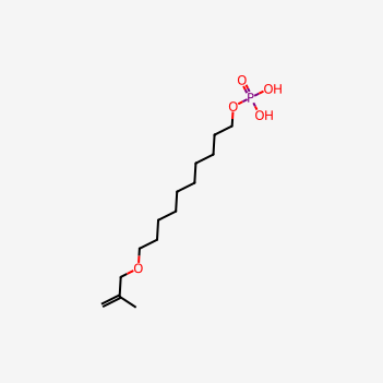 C=C(C)COCCCCCCCCCCOP(=O)(O)O